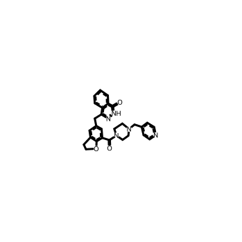 O=C(c1cc(Cc2n[nH]c(=O)c3ccccc23)cc2c1OCC2)N1CCN(Cc2ccncc2)CC1